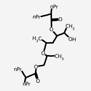 CCCC(CCC)C(=O)OCC(C)OC(C)CC(OC(=O)C(CCC)CCC)C(C)O